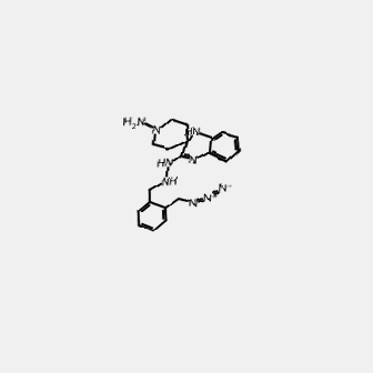 [N-]=[N+]=NCc1ccccc1CNNC1=Nc2ccccc2NC12CCN(N)CC2